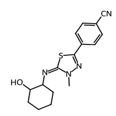 Cn1nc(-c2ccc(C#N)cc2)s/c1=N/C1CCCCC1O